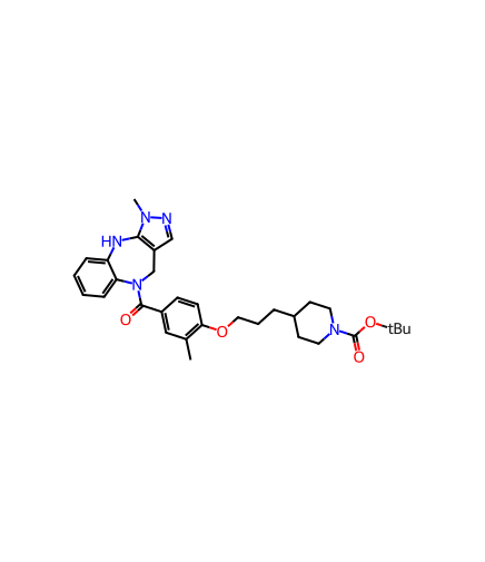 Cc1cc(C(=O)N2Cc3cnn(C)c3Nc3ccccc32)ccc1OCCCC1CCN(C(=O)OC(C)(C)C)CC1